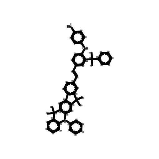 CC(C)(C)c1ccc(Nc2ccc(/C=C/c3ccc4c(c3)C(C)(C)c3cc5c(cc3-4)C(C)(C)c3ccccc3N5c3ccccc3)cc2C(C)(C)c2ccccc2)cc1